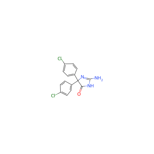 NC1=NC(c2ccc(Cl)cc2)(c2ccc(Cl)cc2)C(=O)N1